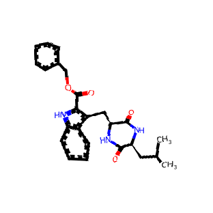 CC(C)C[C@@H]1NC(=O)[C@H](Cc2c(C(=O)OCc3ccccc3)[nH]c3ccccc23)NC1=O